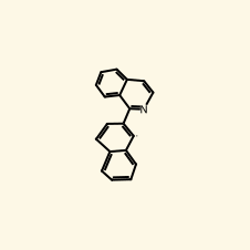 [c]1c(-c2nccc3ccccc23)ccc2ccccc12